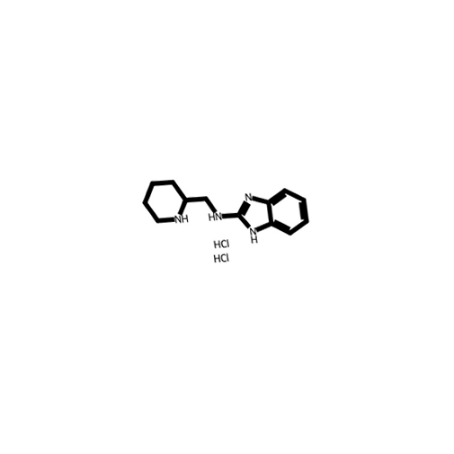 Cl.Cl.c1ccc2[nH]c(NCC3CCCCN3)nc2c1